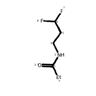 CCC(=O)NCCC(F)F